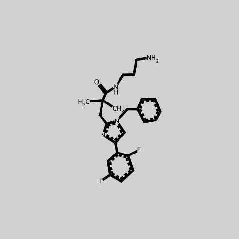 CC(C)([CH]c1nc(-c2cc(F)ccc2F)cn1Cc1ccccc1)C(=O)NCCCN